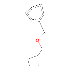 [c]1ccccc1COCC1CCC1